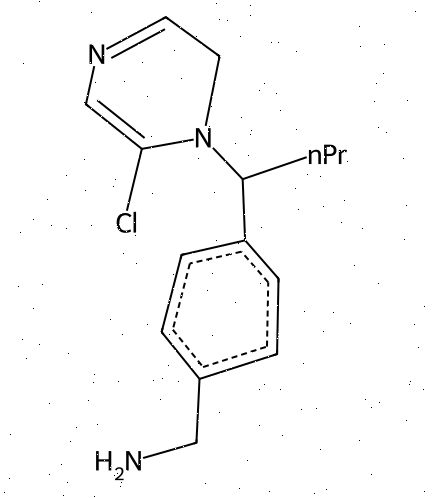 CCCC(c1ccc(CN)cc1)N1CC=NC=C1Cl